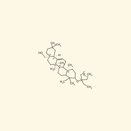 CC[Si](CC)(CC)OC1CC[C@@]2(C)C(CC[C@]3(C)C2CC=C2[C@@H]4CC(C)(C)CC[C@]4(CO)CC[C@@]23C)C1(C)C